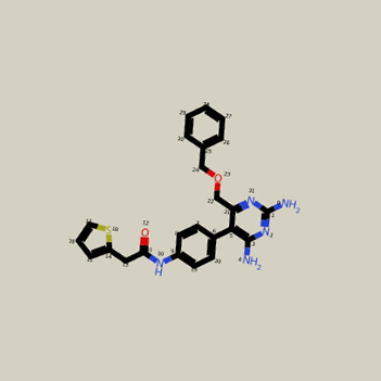 Nc1nc(N)c(-c2ccc(NC(=O)Cc3cccs3)cc2)c(COCc2ccccc2)n1